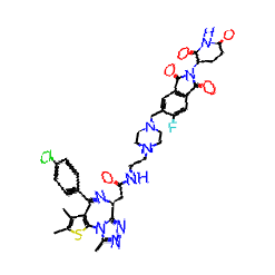 Cc1sc2c(c1C)C(c1ccc(Cl)cc1)=N[C@@H](CC(=O)NCCN1CCN(Cc3cc4c(cc3F)C(=O)N(C3CCC(=O)NC3=O)C4=O)CC1)c1nnc(C)n1-2